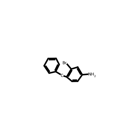 Nc1ccc(Cc2ccccc2)c(Br)c1